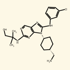 CC(C)(CO)Nc1ncc2nc(Nc3cccc(Cl)c3)n([C@H]3CC[C@@H](CN)CC3)c2n1